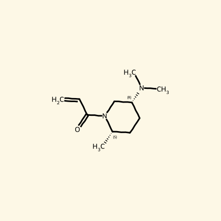 C=CC(=O)N1C[C@H](N(C)C)CC[C@@H]1C